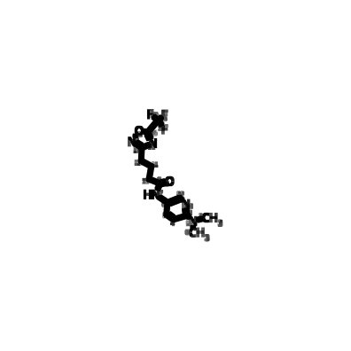 CN(C)c1ccc(NC(=O)CCCc2noc(C(F)(F)F)n2)cn1